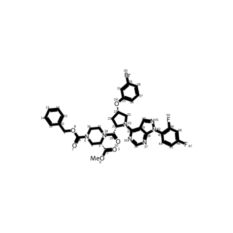 COC(=O)[C@@H]1CN(C(=O)OCc2ccccc2)CCN1C(=O)[C@@H]1C[C@H](Oc2cccc(Br)c2)CN1c1ncnc2c1cnn2-c1ccc(F)cc1F